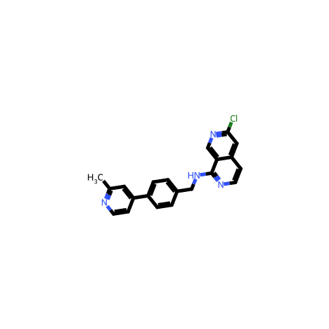 Cc1cc(-c2ccc(CNc3nccc4cc(Cl)ncc34)cc2)ccn1